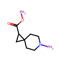 O=C(OP)C1CC12CCN(P)CC2